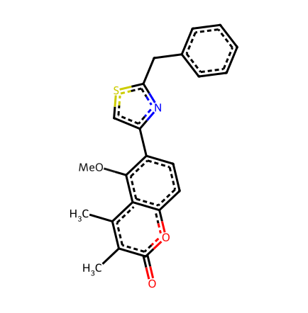 COc1c(-c2csc(Cc3ccccc3)n2)ccc2oc(=O)c(C)c(C)c12